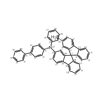 Cc1ccc2c(c1)C1(c3ccccc3-2)c2ccccc2-c2ccc(N(c3ccccc3)c3ccc(-c4ccccc4)cc3)cc21